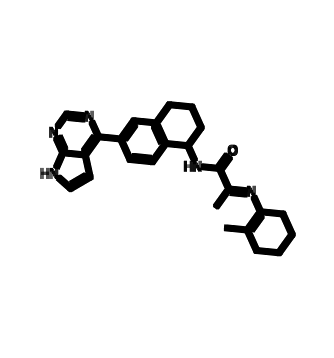 CC1=C(/N=C(\C)C(=O)NC2CCCc3cc(-c4ncnc5[nH]ccc45)ccc32)CCCC1